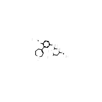 CNC1CC(C)NC(Nc2ccc(OC)c(C3=CCNCCC3)c2)N1